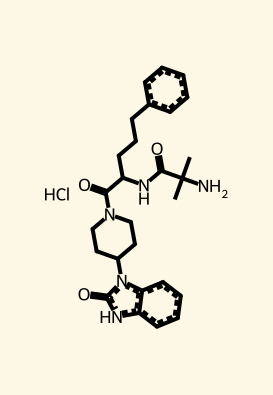 CC(C)(N)C(=O)NC(CCCc1ccccc1)C(=O)N1CCC(n2c(=O)[nH]c3ccccc32)CC1.Cl